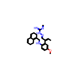 C=NC(=N)N/N=C/C(=C/C)c1cc(OC)ccc1NCC1=C2CCC=CC2=CCC1